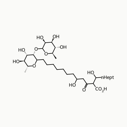 CCCCCCCC(O)C(C(=O)O)C(=O)CC(O)CCCCCCCC1O[C@H](C)[C@@H](O)[C@H](O)[C@@H]1OC1O[C@H](C)[C@@H](O)[C@H](O)[C@@H]1O